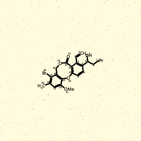 C=Cc1c(C(O)CC(C)C)ccc2c1C(=O)OCc1c(Br)c(C)cc(OC)c1O2